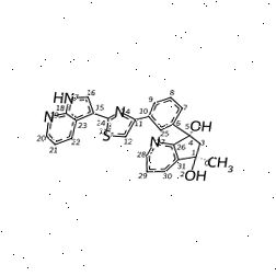 C[C@@]1(O)C[C@](O)(c2cccc(-c3csc(-c4c[nH]c5ncccc45)n3)c2)c2ncccc21